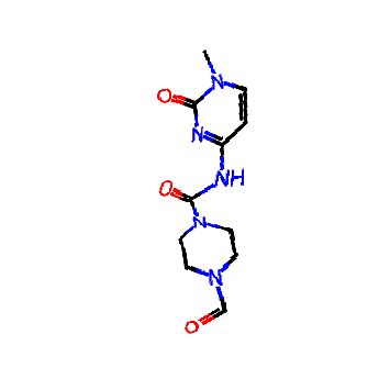 Cn1ccc(NC(=O)N2CCN(C=O)CC2)nc1=O